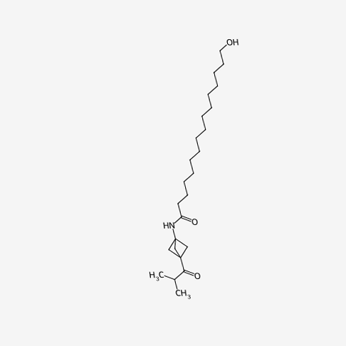 CC(C)C(=O)C12CC(NC(=O)CCCCCCCCCCCCCCCO)(C1)C2